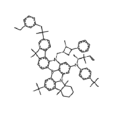 C=CC(C)(C)[C@H](C)N(c1ccc(C(C)(C)C)cc1)c1cc2c3c(c1)N1c4c(cc(C(C)(C)C)cc4C4(C)CCCCC14C)B3c1ccc3c(c1N2CC1CC(c2ccccc2)[C@@H]1C)-c1ccc(C(C)(C)Cc2cccc(CC)c2)cc1C3(C)C